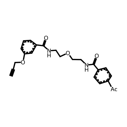 C#CCOc1cccc(C(=O)NCCOCCNC(=O)c2ccc(C(C)=O)cc2)c1